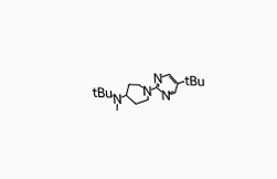 CN(C1CCN(c2ncc(C(C)(C)C)cn2)CC1)C(C)(C)C